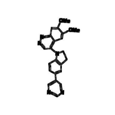 COc1cc2nncc(N3CCc4cc(-c5cncnc5)ccc43)c2cc1OC